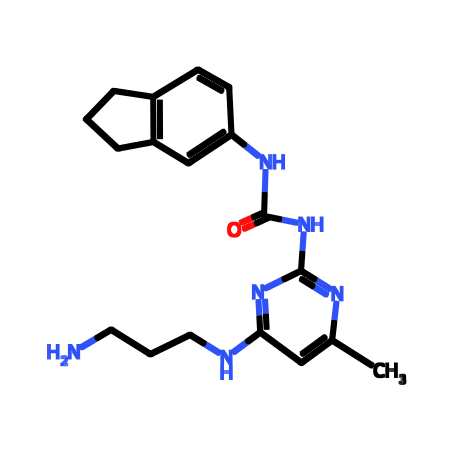 Cc1cc(NCCCN)nc(NC(=O)Nc2ccc3c(c2)CCC3)n1